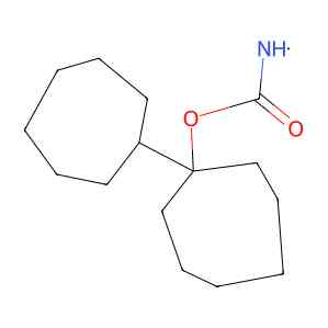 [NH]C(=O)OC1(C2CCCCCC2)CCCCCC1